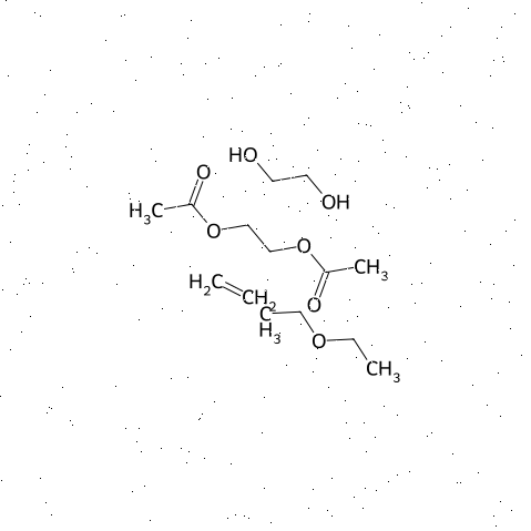 C=C.CC(=O)OCCOC(C)=O.CCOCC.OCCO